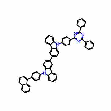 c1ccc(-c2nc(-c3ccccc3)nc(-c3ccc(-n4c5ccccc5c5cc(-c6ccc7c(c6)c6ccccc6n7-c6ccc(-c7cccc8ccccc78)cc6)ccc54)cc3)n2)cc1